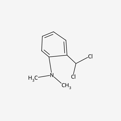 CN(C)c1ccccc1C(Cl)Cl